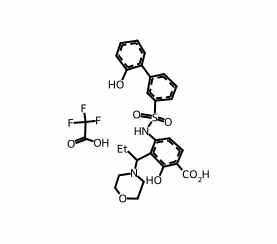 CCC(c1c(NS(=O)(=O)c2cccc(-c3ccccc3O)c2)ccc(C(=O)O)c1O)N1CCOCC1.O=C(O)C(F)(F)F